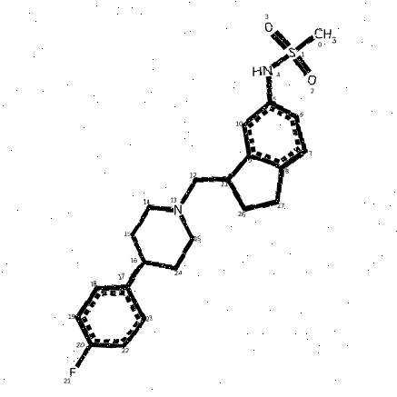 CS(=O)(=O)Nc1ccc2c(c1)C(CN1CCC(c3ccc(F)cc3)CC1)CC2